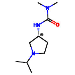 CC(C)N1CC[C@@H](NC(=O)N(C)C)C1